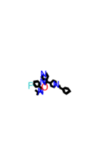 CC(C)N(C)C(=O)c1cc(F)ccc1-n1cc(C2CCN(CCc3ccccc3)CC2)c2ccncc21